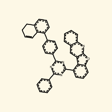 C1=Cc2c(cccc2-c2ccc(-c3nc(-c4ccccc4)nc(-c4cccc5oc6nc7ccccc7cc6c45)n3)cc2)CC1